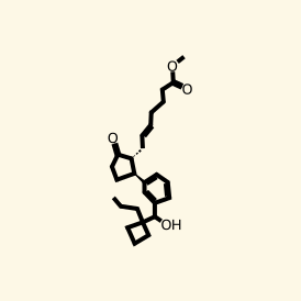 CCCC1(C(O)c2cccc([C@H]3CCC(=O)[C@@H]3CC=CCCCC(=O)OC)c2)CCC1